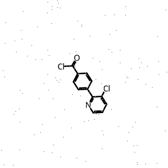 O=C(Cl)c1ccc(-c2ncccc2Cl)cc1